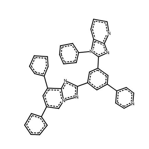 c1ccc(-c2cc(-c3ccccc3)c3nc(-c4cc(-c5ccncc5)cc(-c5nc6ncccc6n5-c5ccccc5)c4)nn3c2)cc1